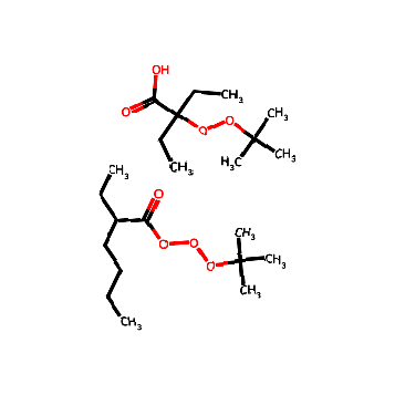 CCC(CC)(OOC(C)(C)C)C(=O)O.CCCCC(CC)C(=O)OOOC(C)(C)C